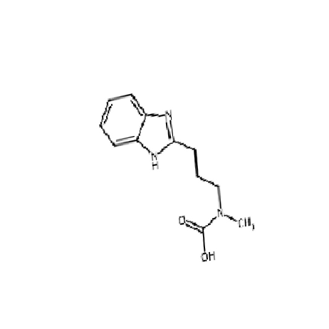 CN(CCCc1nc2ccccc2[nH]1)C(=O)O